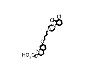 O=C(O)OC1=Nc2cc(OCCCCN3CCN(c4cccc(Cl)c4Cl)CC3)ccc2CC1